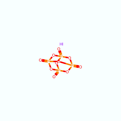 I.O=P12OP3(=O)OP(=O)(O1)OP(=O)(O2)O3